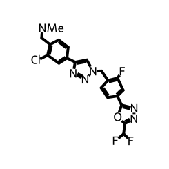 CNCc1ccc(-c2cn(Cc3ccc(-c4nnc(C(F)F)o4)cc3F)nn2)cc1Cl